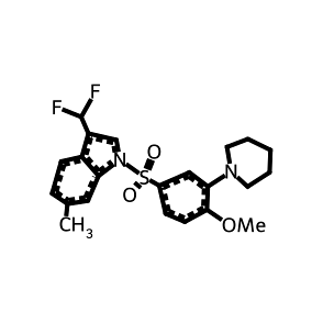 COc1ccc(S(=O)(=O)n2cc(C(F)F)c3ccc(C)cc32)cc1N1CCCCC1